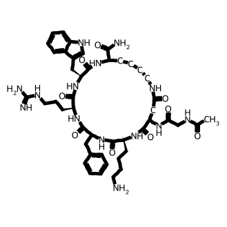 CC(=O)NCC(=O)NC1CC(=O)NCCCCC(C(N)=O)NC(=O)[C@H](Cc2c[nH]c3ccccc23)NC(=O)[C@H](CCCNC(=N)N)NC(=O)C(Cc2ccccc2)NC(=O)[C@H](CCCCN)NC1=O